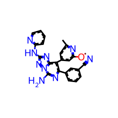 COc1cc(-c2c(-c3cccc(C#N)c3)nc(N)n3nc(Nc4ccccn4)nc23)cc(C)n1